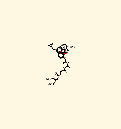 CO[C@@]12CC[C@@]3(C[C@@H]1[C@](C)(O)C(C)(C)C)C1Cc4ccc(OC(=O)OC(C)OC(=O)CCC(=O)OC(COC(C)=O)COC(C)=O)c5c4[C@@]3(CCN1CC1CC1)[C@H]2O5